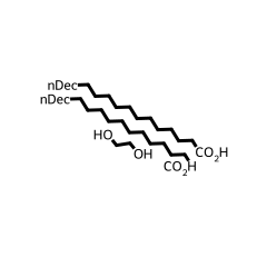 CCCCCCCCCCCCCCCCCCCCCC(=O)O.CCCCCCCCCCCCCCCCCCCCCC(=O)O.OCCO